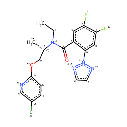 CCN(C(=O)c1cc(F)c(F)cc1-n1nccn1)[C@@H](C)COc1ccc(Cl)cn1